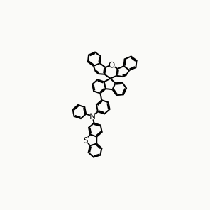 c1ccc(N(c2cccc(-c3cccc4c3-c3ccccc3C43c4ccc5ccccc5c4Oc4c3ccc3ccccc43)c2)c2ccc3c(c2)sc2ccccc23)cc1